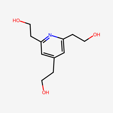 OCCc1cc(CCO)nc(CCO)c1